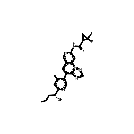 CCC[C@@H](O)c1cc(C)c(-c2cc3cnc(NC(=O)C4CC4(F)F)cc3n3ncnc23)cn1